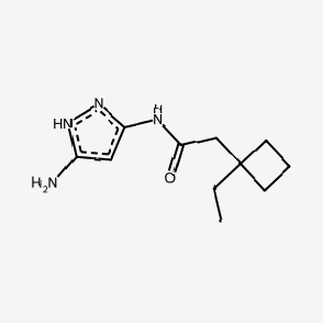 CCC1(CC(=O)Nc2cc(N)[nH]n2)CCC1